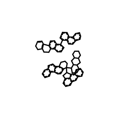 C1=CC2=C(CC1)CCc1c2ccc2c(-c3cccc4c3ccc3ccccc34)cccc12.c1ccc2c3c4c(cccc4cc2c1)CC3C1(C2CCCC3CC4CCCCC4CC32)CCCc2c1ccc1c2ccc2ccccc21